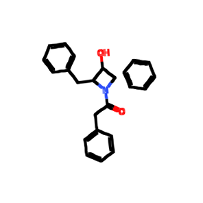 O=C(Cc1ccccc1)N1CC(O)C1Cc1ccccc1.c1ccccc1